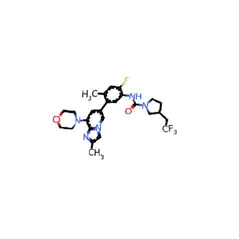 Cc1cn2cc(-c3cc(NC(=O)N4CCC(CC(F)(F)F)C4)c(F)cc3C)cc(N3CCOCC3)c2n1